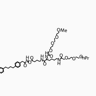 CCCOCCOCCOCC(=O)NCCCC[C@H](NC(=O)COCCOCCOCCOC)C(=O)NCCCC(=O)ONC(=O)Cc1ccc(CCCCc2ccccc2)cc1